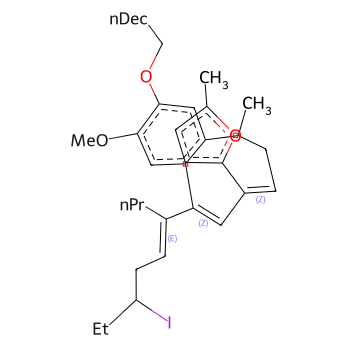 CCCCCCCCCCCOc1cc2c(cc1OC)C(/C(=C/CC(I)CC)CCC)=C\C(c1ccc(C)o1)=C\CC2C